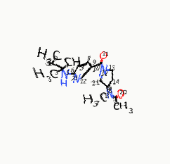 CCC(C)(C)Nc1ccc(C(=O)N2CC[C@H](N(C)C(C)=O)C2)cn1